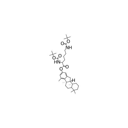 Cc1cc(OC(=O)C(CCCCNC(=O)OC(C)(C)C)NC(=O)OC(C)(C)C)cc2c1[C@]1(C)CCC3C(C)(C)CCC[C@]3(C)[C@H]1C2